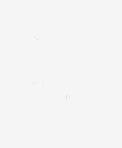 C=CC#N.C=CC=C.C=Cc1ccccc1.CC/C=C(\C)C(=O)O